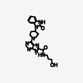 Cn1c(C(=O)NCCCO)nc2c(N3CCC(n4c(=O)[nH]c5ccccc54)CC3)ncnc21